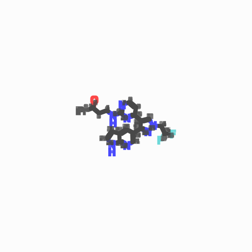 CC(C)C(=O)CCNc1nccc(-c2cn(CC(F)F)nc2-c2cnc3[nH]ccc3c2)n1